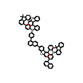 CC1(C)C2=C(C=CCC2)c2c(-c3ccc(N(c4ccc(-c5cccc6cc(-c7ccc8c(c7)oc7cccc(-c9ccccc9N(c9ccc(-c%10cccc%11ccccc%10%11)cc9)c9cccc%10c9C(C)(C)c9ccccc9-%10)c78)ccc56)cc4)c4ccccc4-c4cccc5oc6ccccc6c45)cc3)cccc21